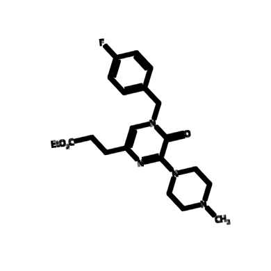 CCOC(=O)CCc1cn(Cc2ccc(F)cc2)c(=O)c(N2CCN(C)CC2)n1